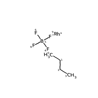 CCCC.F[B-](F)(F)F.[Rh+]